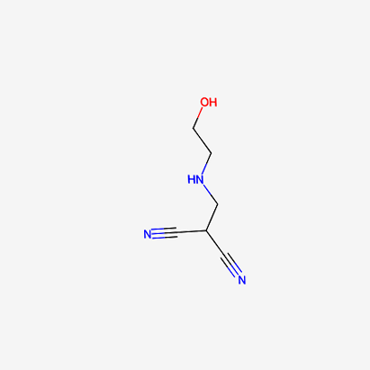 N#CC(C#N)CNCCO